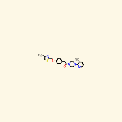 Cc1csc(COc2ccc(CC(=O)N3CCN(C4N=CC=CC4C#N)CC3)cc2)n1